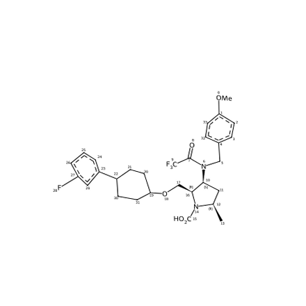 COc1ccc(CN(C(=O)C(F)(F)F)[C@H]2C[C@@H](C)N(C(=O)O)[C@H]2COC2CCC(c3cccc(F)c3)CC2)cc1